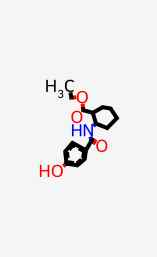 CCOC(=O)C1CCCCC1NC(=O)c1ccc(O)cc1